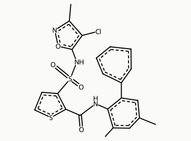 Cc1cc(C)c(NC(=O)c2sccc2S(=O)(=O)Nc2onc(C)c2Cl)c(-c2ccccc2)c1